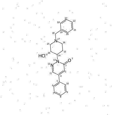 Cl.O=c1cc(-c2ccccc2)cnn1C1CCN(Cc2ccccc2)CC1